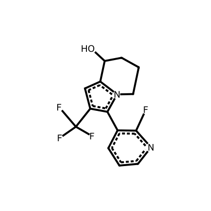 OC1CCCn2c1cc(C(F)(F)F)c2-c1cccnc1F